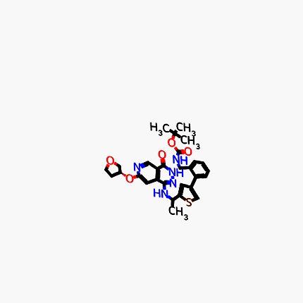 CC(Nc1n[nH]c(=O)c2cnc(O[C@H]3CCOC3)cc12)c1cc(-c2ccccc2CNC(=O)OC(C)(C)C)cs1